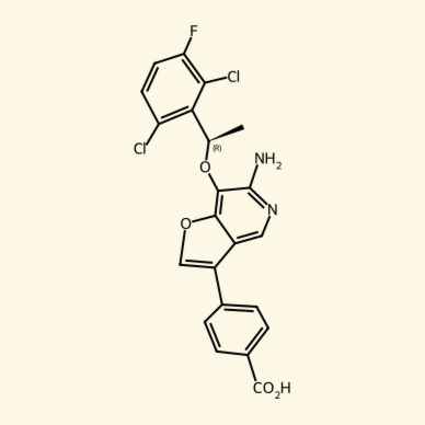 C[C@@H](Oc1c(N)ncc2c(-c3ccc(C(=O)O)cc3)coc12)c1c(Cl)ccc(F)c1Cl